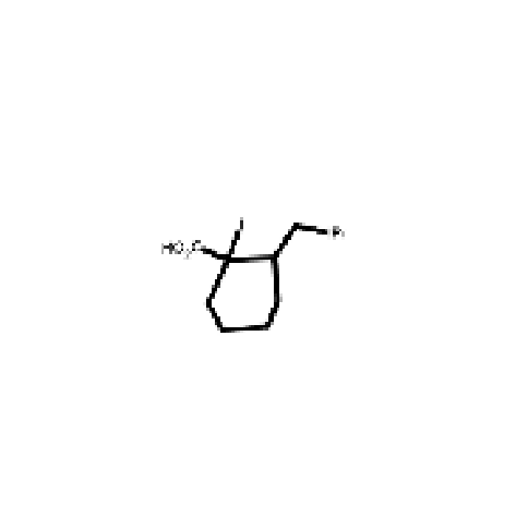 CC(C)CC1CCCCC1(I)C(=O)O